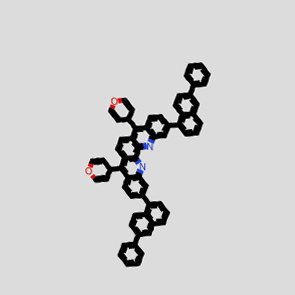 C1=CC(c2c3ccc(-c4cccc5cc(-c6ccccc6)ccc45)cc3nc3c2ccc2c(C4C=COC=C4)c4ccc(-c5cccc6cc(-c7ccccc7)ccc56)cc4nc23)C=CO1